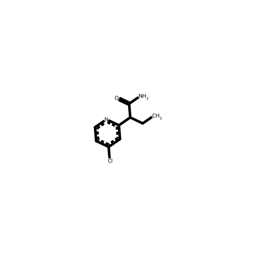 CCC(C(N)=O)c1cc(Cl)ccn1